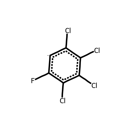 Fc1[c]c(Cl)c(Cl)c(Cl)c1Cl